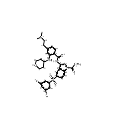 COC(=O)n1nc(NC(=O)c2ccc(CCN(C)C)cc2NC2CCOCC2)c2cc(S(=O)(=O)c3cc(F)cc(F)c3)ccc21